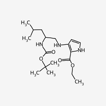 CCOC(=O)c1[nH]ccc1NCC(CC(C)C)NC(=O)OC(C)(C)C